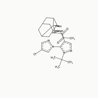 CC(=O)N[C@]12CC3CC(C1)[C@@H](NC(=O)c1cnn(C(C)(C)C)c1-n1cc(Cl)cn1)C(C3)C2